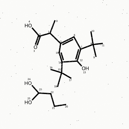 CC(C(=O)O)c1cc(C(C)(C)C)c(O)c(C(C)(C)C)c1.CCCC(O)O